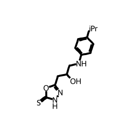 CC(C)c1ccc(NCC(O)Cc2n[nH]c(=S)o2)cc1